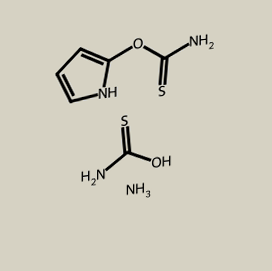 N.NC(=S)Oc1ccc[nH]1.NC(O)=S